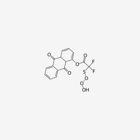 O=C1c2ccccc2C(=O)C2C(OC(=O)C(F)(F)SOOO)=CC=CC12